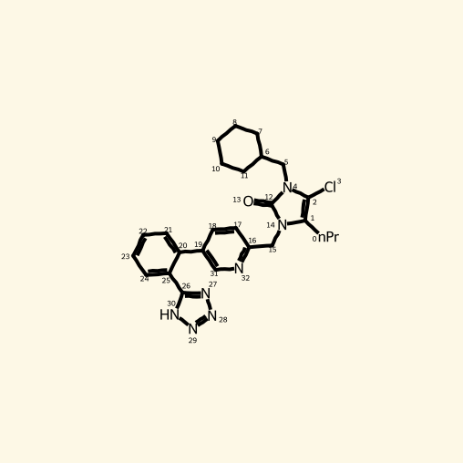 CCCc1c(Cl)n(CC2CCCCC2)c(=O)n1Cc1ccc(-c2ccccc2-c2nnn[nH]2)cn1